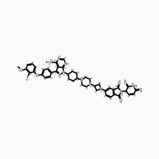 COc1cccc(Oc2ccc(-c3nn(C4CCC(N5CCN(C6CN(c7ccc8c(c7)C(=O)N(C7C=CC(=O)NC7=O)C8=O)C6)CC5)CC4)c4ncnc(N)c34)cc2)c1F